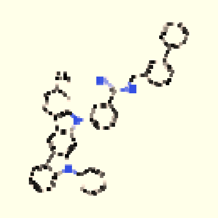 CC1C=Cc2c(n(-c3cccc(C(=N)NCc4cccc(-c5ccccc5)c4)c3)c3cc4c(cc23)c2ccccc2n4-c2ccccc2)C1